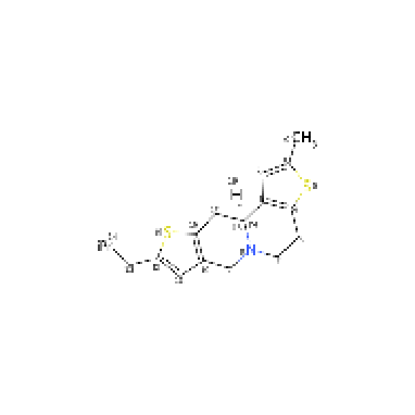 Cc1cc2c(s1)CCN1Cc3cc(CC(C)C)sc3C[C@@H]21